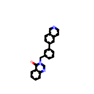 O=c1c2ccccc2ncn1Cc1cccc(-c2ccc3cnccc3c2)c1